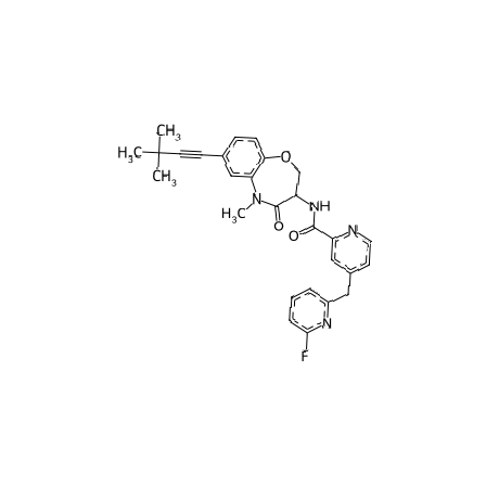 CN1C(=O)C(NC(=O)c2cc(Cc3cccc(F)n3)ccn2)COc2ccc(C#CC(C)(C)C)cc21